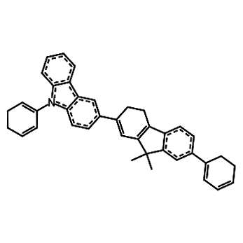 CC1(C)C2=C(CCC(c3ccc4c(c3)c3ccccc3n4C3=CCCC=C3)=C2)c2ccc(C3=CC=CCC3)cc21